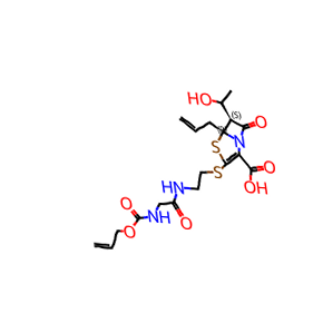 C=CCOC(=O)NCC(=O)NCCSC1=C(C(=O)O)N2C(=O)[C@H](C(C)O)[C@@]2(CC=C)S1